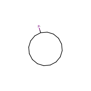 [P]C1CCCCCCCCCCCCCCC1